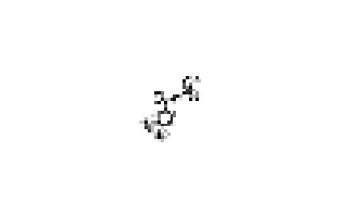 COC(=O)C#CC(=O)c1ccc(OC)c(OC)c1